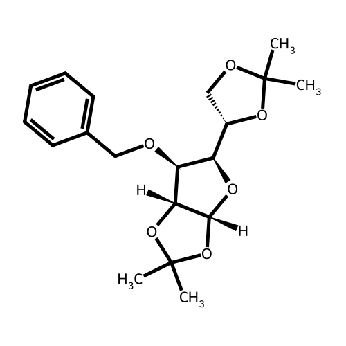 CC1(C)O[C@H]2O[C@H]([C@@H]3COC(C)(C)O3)[C@H](OCc3ccccc3)[C@H]2O1